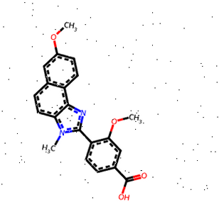 COc1ccc2c(ccc3c2nc(-c2ccc(C(=O)O)cc2OC)n3C)c1